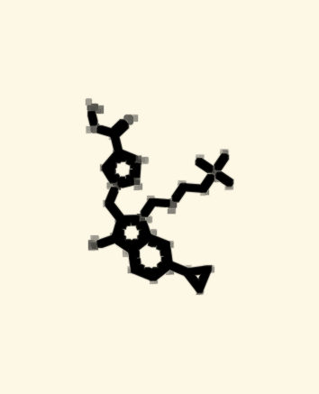 CC(C)(C)OC(=O)c1cn(Cc2c(Br)c3ccc(C4CC4)cc3n2COCC[Si](C)(C)C)nn1